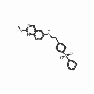 CNc1ncc2cc(NCCc3ccc(S(=O)(=O)c4ccccc4)cc3)ccc2n1